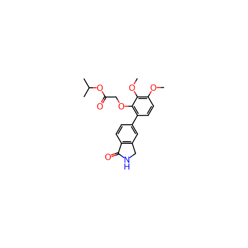 COc1ccc(-c2ccc3c(c2)CNC3=O)c(OCC(=O)OC(C)C)c1OC